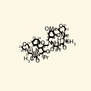 COc1ccc(CN(C[C@H](O)C(C(=O)[C@@H](NC(=O)N(C)CCN2CCOCC2)C(C)C)C(N)c2ccccc2)NC(=O)[C@@H](NC(=O)N(C)CCN2CCOCC2)C(C)C)cc1OC